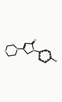 O=C1C=C(N2CCOCC2)CN1c1ccc(Br)cc1